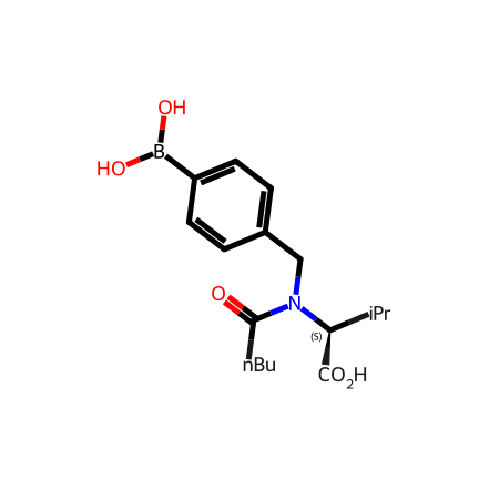 CCCCC(=O)N(Cc1ccc(B(O)O)cc1)[C@H](C(=O)O)C(C)C